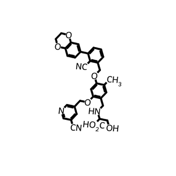 Cc1cc(CNC(CO)C(=O)O)c(OCc2cncc(C#N)c2)cc1OCc1cccc(-c2ccc3c(c2)OCCO3)c1C#N